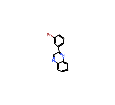 Brc1cccc(-c2cnc3ccccc3n2)c1